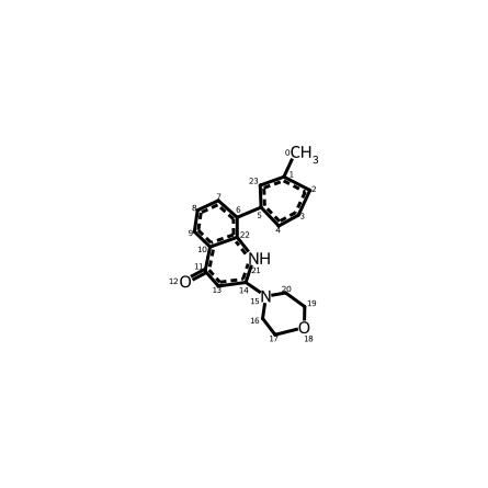 Cc1cccc(-c2cccc3c(=O)cc(N4CCOCC4)[nH]c23)c1